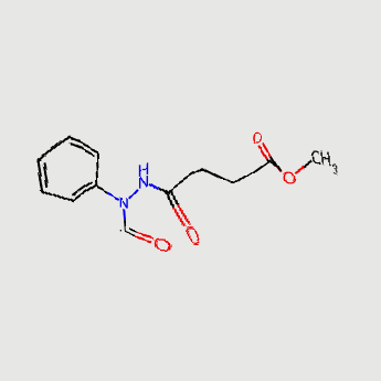 COC(=O)CCC(=O)NN([C]=O)c1ccccc1